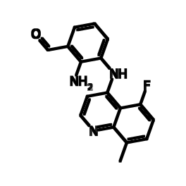 Cc1ccc(F)c2c(Nc3cccc(C=O)c3N)ccnc12